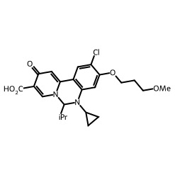 COCCCOc1cc2c(cc1Cl)-c1cc(=O)c(C(=O)O)cn1C(C(C)C)N2C1CC1